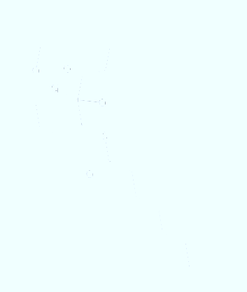 CCCCCCCC(=O)SC1CCC[Si](OC)(OC)C1(CCC)OC